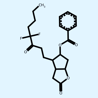 CCCCC(F)(F)C(=O)CCC1C(OC(=O)c2ccccc2)CC2OC(=O)CC21